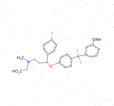 COc1cccc(C(F)(F)c2ccc(OC(CCN(C)CC(=O)O)c3ccc(F)cc3)cc2)c1